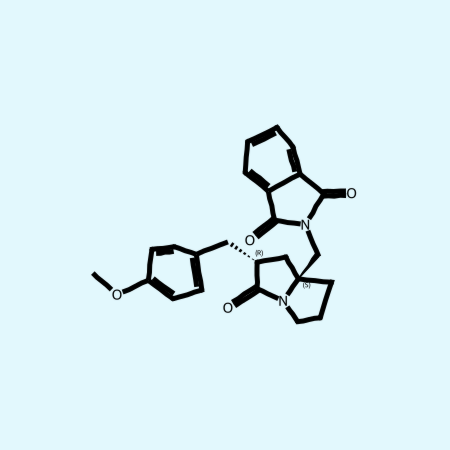 COc1ccc(C[C@@H]2C[C@]3(CN4C(=O)c5ccccc5C4=O)CCCN3C2=O)cc1